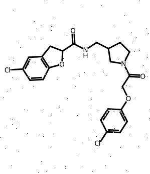 O=C(NCC1CCN(C(=O)COc2ccc(Cl)cc2)C1)C1Cc2cc(Cl)ccc2O1